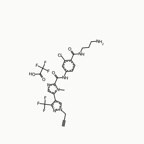 C#CCn1cc(-c2cnc(C(=O)Nc3ccc(C(=O)NCCCN)c(Cl)c3)n2C)c(C(F)(F)F)n1.O=C(O)C(F)(F)F